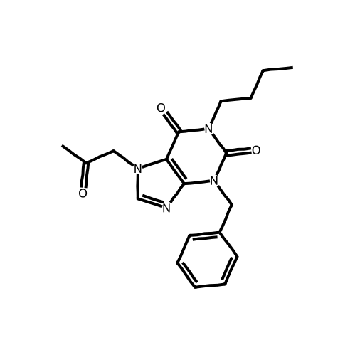 CCCCn1c(=O)c2c(ncn2CC(C)=O)n(Cc2ccccc2)c1=O